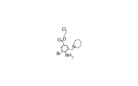 Nc1c(Br)cc(C(=O)OCCCl)cc1CN1CCCCCC1